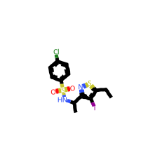 CCc1snc(C(C)NS(=O)(=O)c2ccc(Cl)cc2)c1I